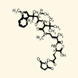 CN[C@H](C(=O)NC(C(=O)N(C)C/C=C(\C)C(=O)N[C@H](CCC(=O)ON1C(=O)CCC1=O)C(=O)O)C(C)(C)C)C(C)(C)c1cn(C)c2ccccc12